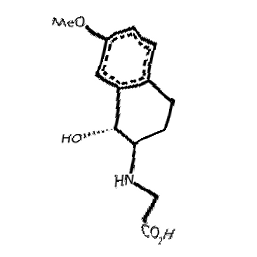 COc1ccc2c(c1)[C@@H](O)C(NCC(=O)O)CC2